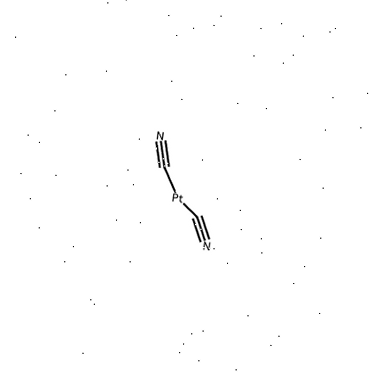 N#[C][Pt][C]#N